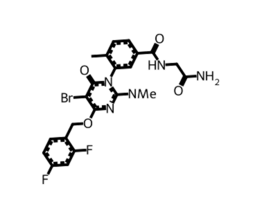 CNc1nc(OCc2ccc(F)cc2F)c(Br)c(=O)n1-c1cc(C(=O)NCC(N)=O)ccc1C